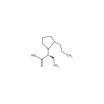 CCCC1CCCN1[C@@H](CC)C(=O)O